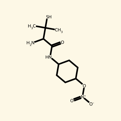 CC(C)(S)C(N)C(=O)NC1CCC(O[N+](=O)[O-])CC1